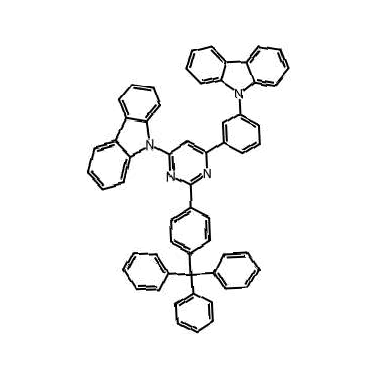 c1ccc(C(c2ccccc2)(c2ccccc2)c2ccc(-c3nc(-c4cccc(-n5c6ccccc6c6ccccc65)c4)cc(-n4c5ccccc5c5ccccc54)n3)cc2)cc1